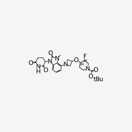 Cn1c(=O)n(C2CCC(=O)NC2=O)c2cccc(N3CC(O[C@@H]4CCN(C(=O)OC(C)(C)C)C[C@H]4F)C3)c21